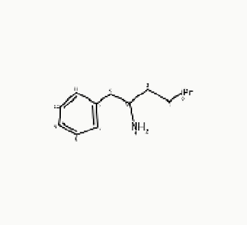 CC(C)CCC(N)Cc1ccccc1